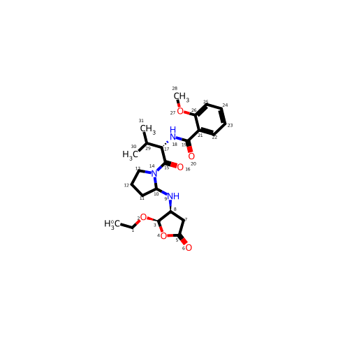 CCO[C@@H]1OC(=O)C[C@@H]1NC1CCCN1C(=O)[C@@H](NC(=O)c1ccccc1OC)C(C)C